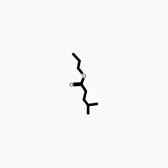 CCCOC(=O)CCC(C)C